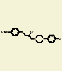 CC(=O)Nc1ccc(OC[C@@H](O)CN2CCN(c3ccc(Cl)cc3)CC2)cc1